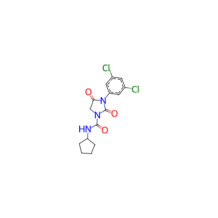 O=C(NC1CCCC1)N1CC(=O)N(c2cc(Cl)cc(Cl)c2)C1=O